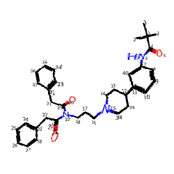 CC(C)(C)C(=O)Nc1cccc(C2CCN(CCCN(C(=O)Cc3ccccc3)C(=O)Cc3ccccc3)CC2)c1